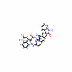 O=C1CC2(CC(=O)N3CCCC3)CN(Cc3ccc4cc5c(cc4n3)C[C@]3(C5)C(=O)Nc4ncccc43)c3cccc(c32)N1